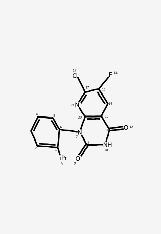 CC(C)c1ccccc1-n1c(=O)[nH]c(=O)c2cc(F)c(Cl)nc21